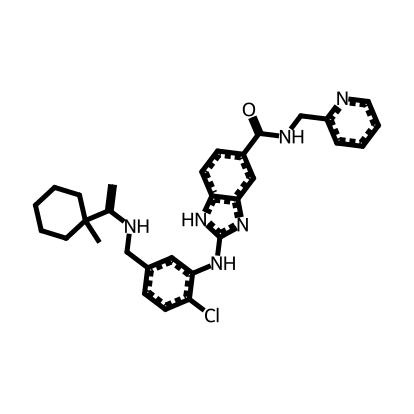 C=C(NCc1ccc(Cl)c(Nc2nc3cc(C(=O)NCc4ccccn4)ccc3[nH]2)c1)C1(C)CCCCC1